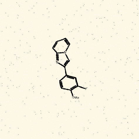 COc1ccc(-c2cn3ccccc3n2)cc1F